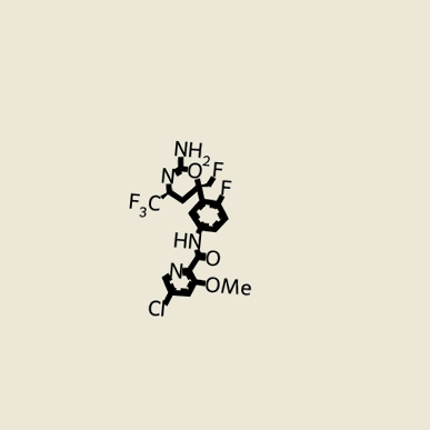 COc1cc(Cl)cnc1C(=O)Nc1ccc(F)c([C@]2(CF)C[C@@H](C(F)(F)F)N=C(N)O2)c1